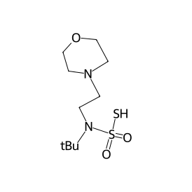 CC(C)(C)N(CCN1CCOCC1)S(=O)(=O)S